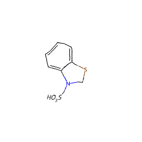 O=S(=O)(O)N1CSc2ccccc21